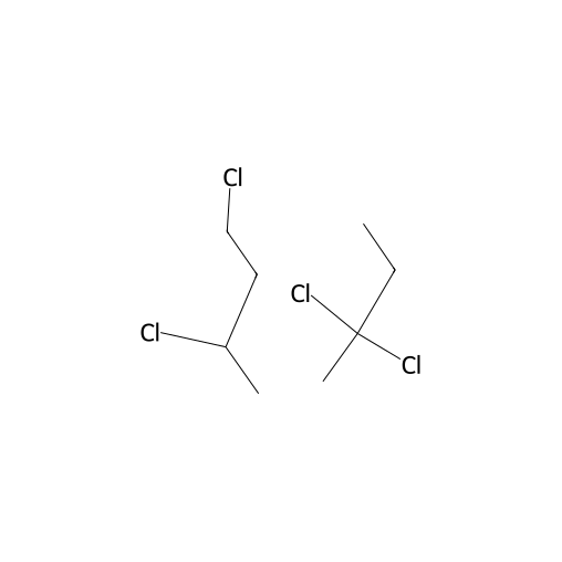 CC(Cl)CCCl.CCC(C)(Cl)Cl